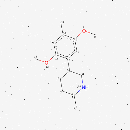 COc1cc(C2CCC(C)NC2)c(OC)cc1C